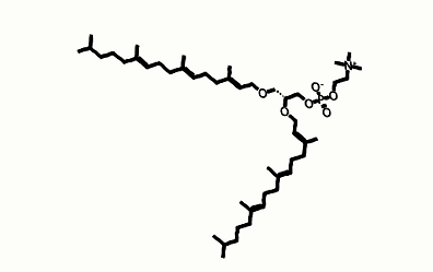 C/C(=C\CC/C(C)=C/COC[C@H](COP(=O)([O-])OCC[N+](C)(C)C)OC/C=C(\C)CC/C=C(\C)CC/C=C(\C)CCCC(C)C)CC/C=C(\C)CCCC(C)C